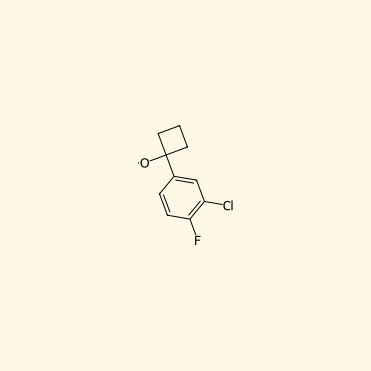 [O]C1(c2ccc(F)c(Cl)c2)CCC1